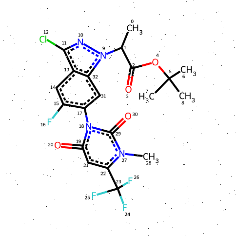 CC(C(=O)OC(C)(C)C)n1nc(Cl)c2cc(F)c(-n3c(=O)cc(C(F)(F)F)n(C)c3=O)cc21